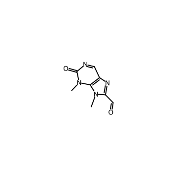 Cn1c(C=O)nc2cnc(=O)n(C)c21